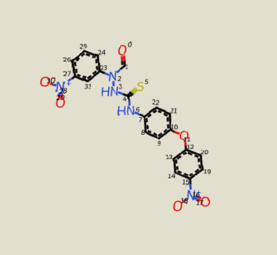 O=CN(NC(=S)Nc1ccc(Oc2ccc([N+](=O)[O-])cc2)cc1)c1cccc([N+](=O)[O-])c1